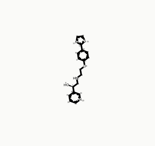 O[C@@H](CNCCOc1ccc(-c2nccs2)cc1)c1cccnc1